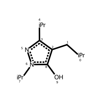 CC(C)Cc1c(C(C)C)nn(C(C)C)c1O